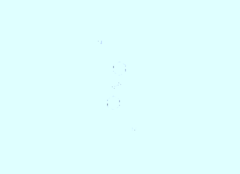 NCCOc1cccc(N=Nc2cccc(OCCN)c2)c1